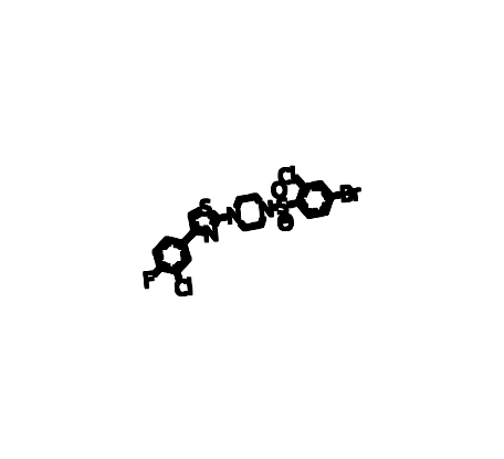 O=S(=O)(c1ccc(Br)cc1Cl)N1CCN(c2nc(-c3ccc(F)c(Cl)c3)cs2)CC1